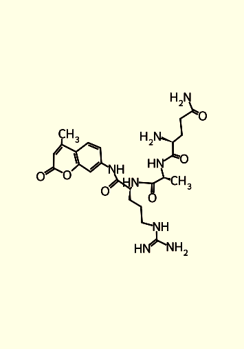 Cc1cc(=O)oc2cc(NC(=O)[C@H](CCCNC(=N)N)NC(=O)[C@H](C)NC(=O)[C@@H](N)CCC(N)=O)ccc12